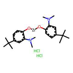 CN(C)c1cc(C(C)(C)C)ccc1[O][Zr][O]c1ccc(C(C)(C)C)cc1N(C)C.Cl.Cl